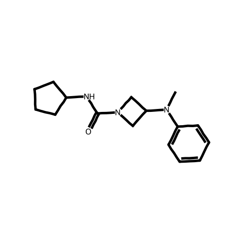 CN(c1ccccc1)C1CN(C(=O)NC2CCCC2)C1